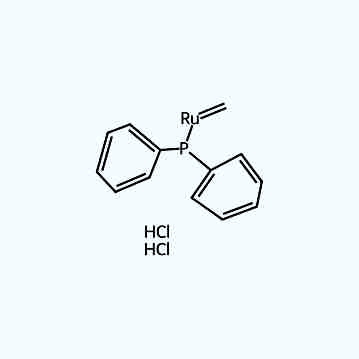 Cl.Cl.[CH2]=[Ru][P](c1ccccc1)c1ccccc1